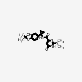 CN(C)c1nc(C(=O)NC2(c3ccc(OC(C)(C)C)cc3)CC2)cc(=O)[nH]1